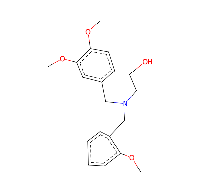 COc1ccccc1CN(CCO)Cc1ccc(OC)c(OC)c1